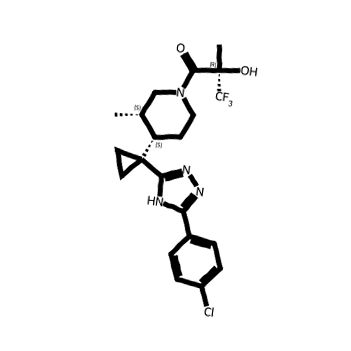 C[C@@H]1CN(C(=O)[C@@](C)(O)C(F)(F)F)CC[C@@H]1C1(c2nnc(-c3ccc(Cl)cc3)[nH]2)CC1